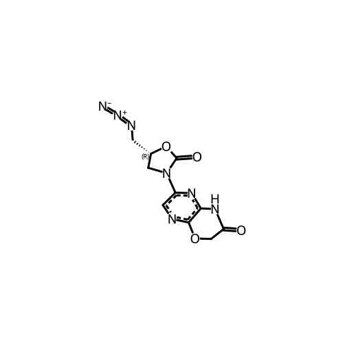 [N-]=[N+]=NC[C@H]1CN(c2cnc3c(n2)NC(=O)CO3)C(=O)O1